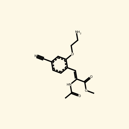 COC(=O)C(=Cc1ccc(C#N)cc1OCCN)NC(C)=O